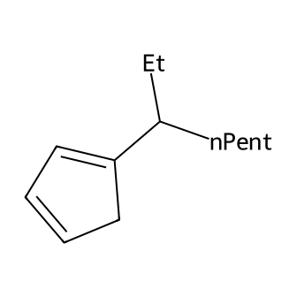 CCCCCC(CC)C1=CC=CC1